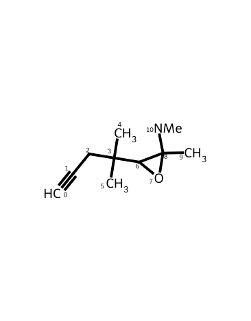 C#CCC(C)(C)C1OC1(C)NC